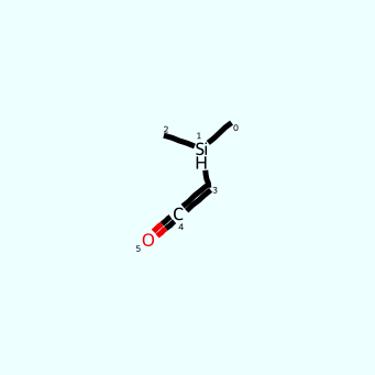 C[SiH](C)[C]=C=O